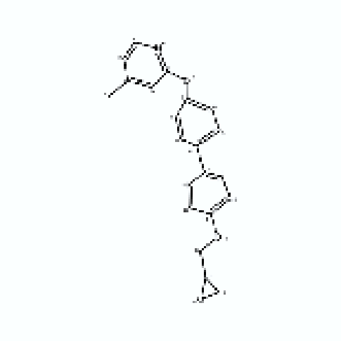 Cc1ccnc(Oc2ccc(-c3ccc(OCC4CO4)cc3)cc2)c1